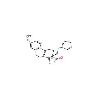 CCCOc1ccc2c(c1)CCC1=C2CC[C@]2(CCc3ccccc3)C(=O)CC=C12